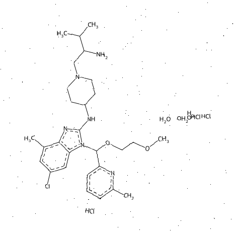 COCCOC(c1cccc(C)n1)n1c(NC2CCN(CC(N)C(C)C)CC2)nc2c(C)cc(Cl)cc21.Cl.Cl.Cl.O.O.O